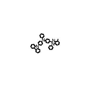 Cc1cccc2c1nc(-c1ccc(N(c3ccccc3)c3ccc(-n4c5ccccc5c5ccccc54)cc3)cc1)n2-c1ccccc1